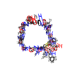 C=C1NC(=O)C([C@@H](C)CC)NC(=O)[C@@H](NC(=O)[C@@H]2CCCN2C(=O)[C@@H](Cc2ccccc2)NC(C)=O)CSSC[C@H](NC(=O)CCC(=O)O)C(=O)N[C@H](Cc2ccccc2)C(=O)N[C@H](C)C(=O)NC(C[C@@H](C)CC)C(=O)NC[C@@H](C)OC(=O)[C@H](CO)NC(=O)[C@H]([C@@H](C)OC)N(C)C(=O)[C@@H](C(C)C)NC(=O)[C@H](C[C@H](C)CC)NC1=O